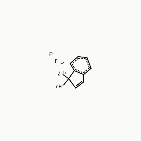 CCC[C]1([Zr+3])C=Cc2ccccc21.[F-].[F-].[F-]